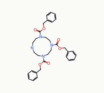 O=C(OCc1ccccc1)N1CC[N]CCN(C(=O)OCc2ccccc2)CCN(C(=O)OCc2ccccc2)CC1